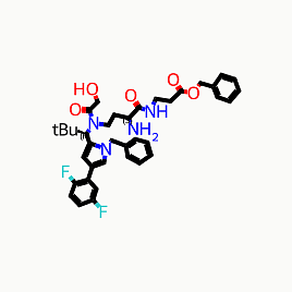 CC(C)(C)[C@H](c1cc(-c2cc(F)ccc2F)cn1Cc1ccccc1)N(CC[C@H](N)C(=O)NCCC(=O)OCc1ccccc1)C(=O)CO